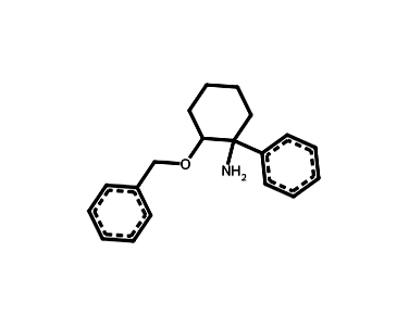 NC1(c2ccccc2)CCCCC1OCc1ccccc1